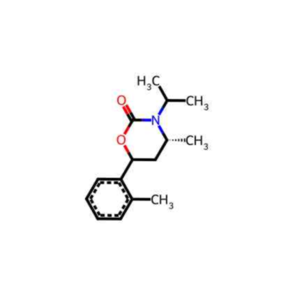 Cc1ccccc1C1C[C@@H](C)N(C(C)C)C(=O)O1